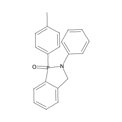 Cc1ccc(P2(=O)c3ccccc3CN2c2ccccc2)cc1